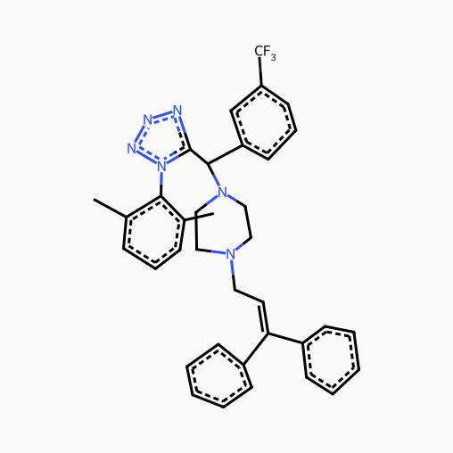 Cc1cccc(C)c1-n1nnnc1C(c1cccc(C(F)(F)F)c1)N1CCN(CC=C(c2ccccc2)c2ccccc2)CC1